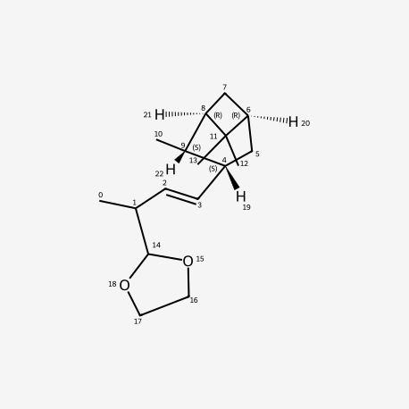 CC(C=C[C@H]1C[C@@H]2C[C@H]([C@H]1C)C2(C)C)C1OCCO1